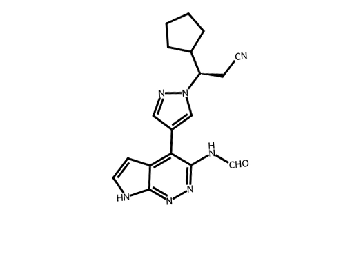 N#CC[C@H](C1CCCC1)n1cc(-c2c(NC=O)nnc3[nH]ccc23)cn1